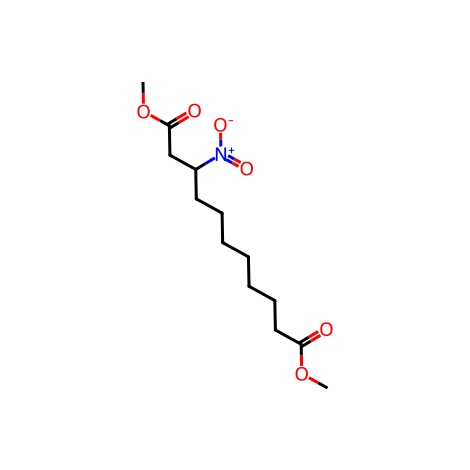 COC(=O)CCCCCCCC(CC(=O)OC)[N+](=O)[O-]